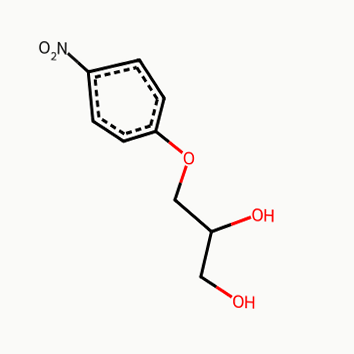 O=[N+]([O-])c1ccc(OCC(O)CO)cc1